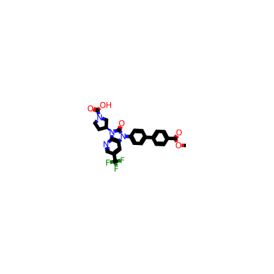 COC(=O)c1ccc(-c2ccc(-n3c(=O)n([C@H]4CCN(C(=O)O)C4)c4ncc(C(F)(F)F)cc43)cc2)cc1